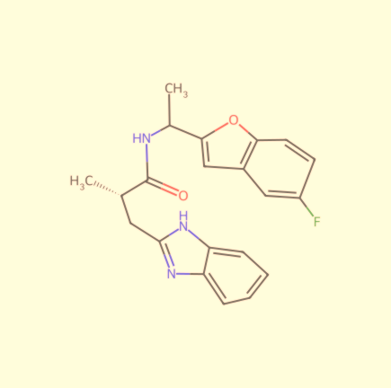 CC(NC(=O)[C@@H](C)Cc1nc2ccccc2[nH]1)c1cc2cc(F)ccc2o1